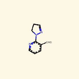 O=Cc1cccnc1N1CCC=N1